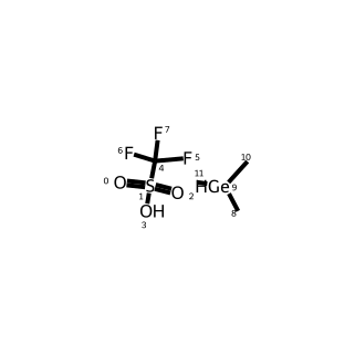 O=S(=O)(O)C(F)(F)F.[CH3][GeH]([CH3])[CH3]